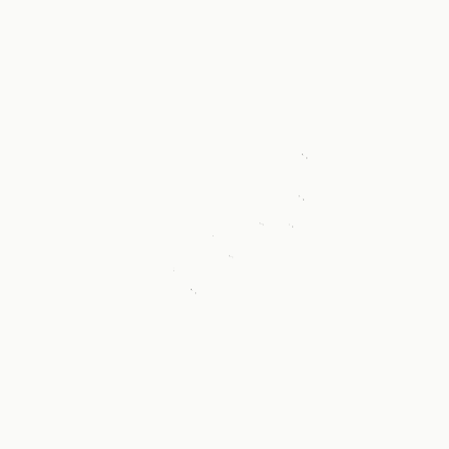 CCCC(C)C1(CC)C(=O)N=C([O-])NC1=O.[Na+].c1ccc2[nH]nnc2c1